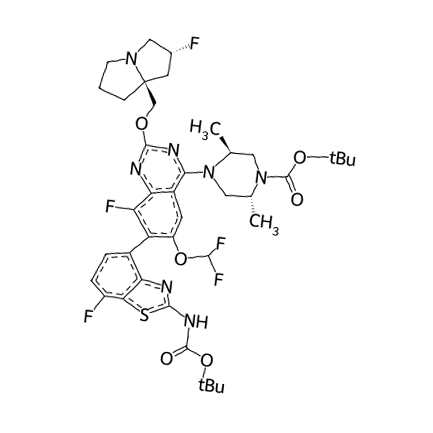 C[C@@H]1CN(c2nc(OC[C@@]34CCCN3C[C@H](F)C4)nc3c(F)c(-c4ccc(F)c5sc(NC(=O)OC(C)(C)C)nc45)c(OC(F)F)cc23)[C@@H](C)CN1C(=O)OC(C)(C)C